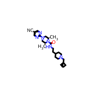 C[C@@H]1CN(c2ncc(C#N)cn2)C[C@H](C)N1C(=O)NCCC1CCN(CC23CC(C2)C3)CC1